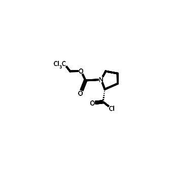 O=C(Cl)[C@H]1CCCN1C(=O)OCC(Cl)(Cl)Cl